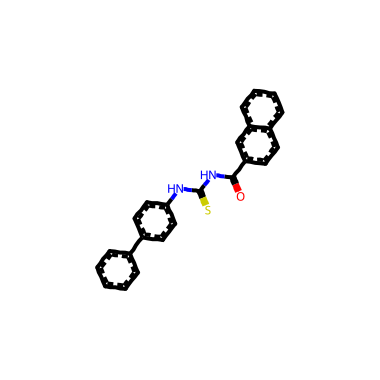 O=C(NC(=S)Nc1ccc(-c2ccccc2)cc1)c1ccc2ccccc2c1